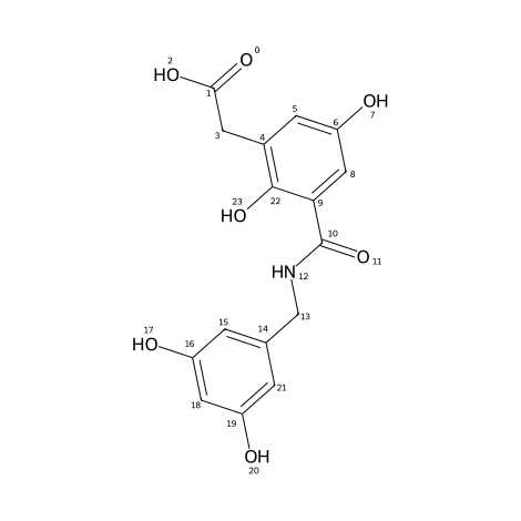 O=C(O)Cc1cc(O)cc(C(=O)NCc2cc(O)cc(O)c2)c1O